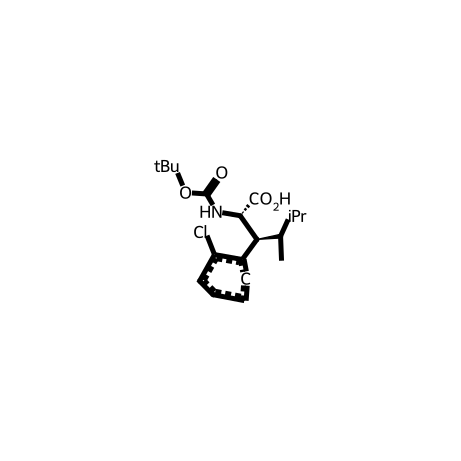 CC(C)C(C)[C@@H](c1ccccc1Cl)[C@H](NC(=O)OC(C)(C)C)C(=O)O